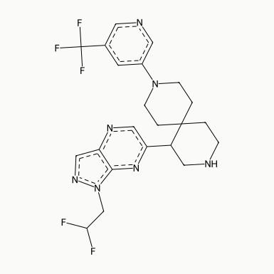 FC(F)Cn1ncc2ncc(C3CNCCC34CCN(c3cncc(C(F)(F)F)c3)CC4)nc21